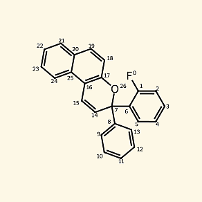 Fc1ccccc1C1(c2ccccc2)C=Cc2c(ccc3ccccc23)O1